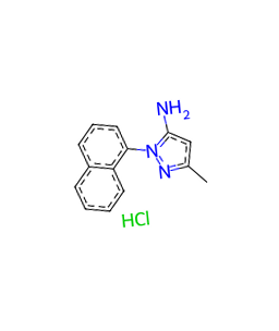 Cc1cc(N)n(-c2cccc3ccccc23)n1.Cl